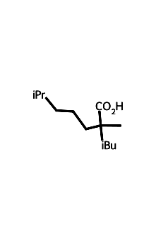 CCC(C)C(C)(CCCC(C)C)C(=O)O